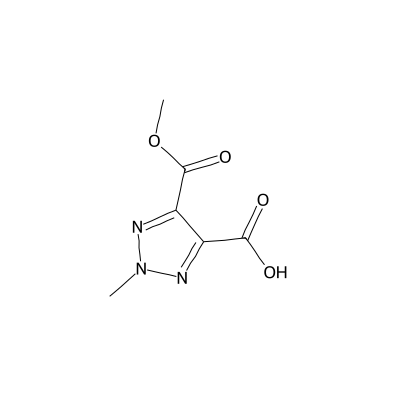 COC(=O)c1nn(C)nc1C(=O)O